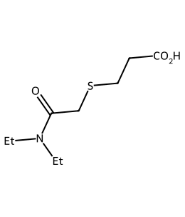 CCN(CC)C(=O)CSCCC(=O)O